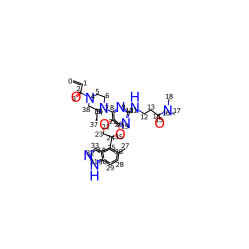 C=CC(=O)N1CCN(c2nc(NCCC(=O)N(C)C)nc3c2OCC(c2c(C)ccc4[nH]ncc24)O3)[C@@H](C)C1